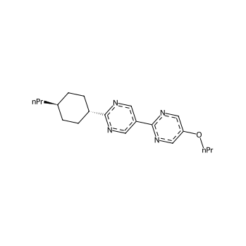 CCCOc1cnc(-c2cnc([C@H]3CC[C@H](CCC)CC3)nc2)nc1